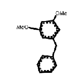 COc1cc([CH]c2ccccc2)cc(OC)c1